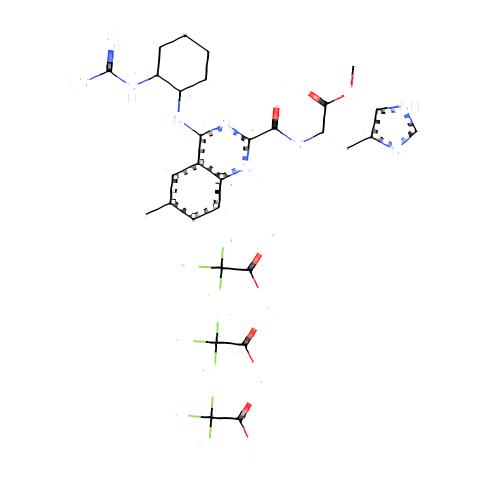 COC(=O)[C@H](Cc1c[nH]cn1)NC(=O)c1nc(NC2CCCCC2NC(=N)N)c2cc(C)ccc2n1.O=C(O)C(F)(F)F.O=C(O)C(F)(F)F.O=C(O)C(F)(F)F